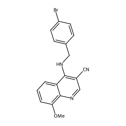 COc1cccc2c(NCc3ccc(Br)cc3)c(C#N)cnc12